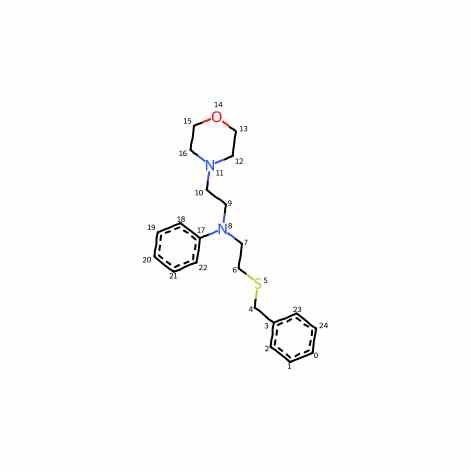 c1ccc(CSCCN(CCN2CCOCC2)c2ccccc2)cc1